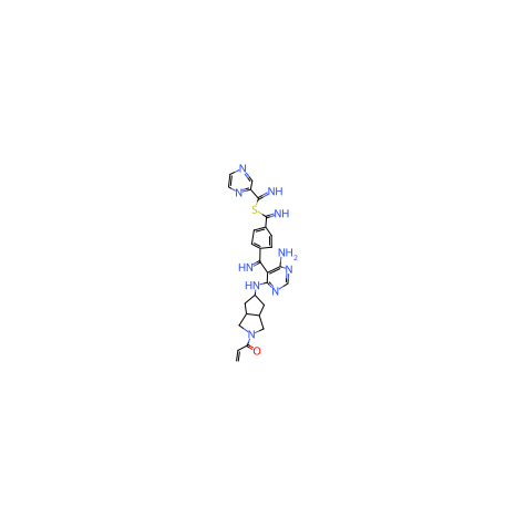 C=CC(=O)N1CC2CC(Nc3ncnc(N)c3C(=N)c3ccc(C(=N)SC(=N)c4cnccn4)cc3)CC2C1